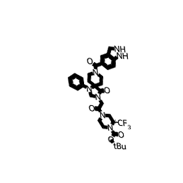 CC(C)(C)OC(=O)N1CCN(C(=O)CN2CN(c3ccccc3)C3(CCN(C(=O)c4ccc5c(c4)CNN5)CC3)C2=O)C[C@@H]1C(F)(F)F